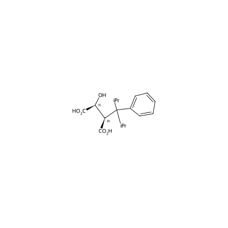 CC(C)C(c1ccccc1)(C(C)C)[C@@H](C(=O)O)[C@H](O)C(=O)O